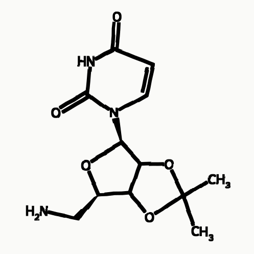 CC1(C)OC2C(O1)[C@@H](CN)O[C@H]2n1ccc(=O)[nH]c1=O